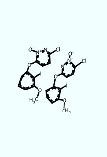 COc1cccc(Oc2ccc(Cl)[n+]([O-])n2)c1I.COc1cccc(Oc2ccc(Cl)n[n+]2[O-])c1I